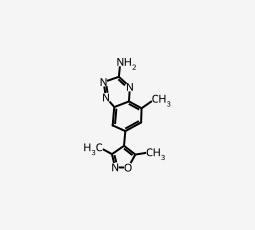 Cc1noc(C)c1-c1cc(C)c2nc(N)nnc2c1